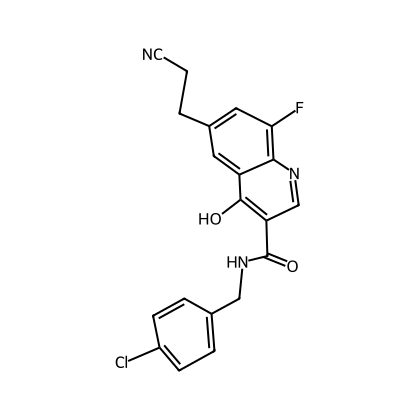 N#CCCc1cc(F)c2ncc(C(=O)NCc3ccc(Cl)cc3)c(O)c2c1